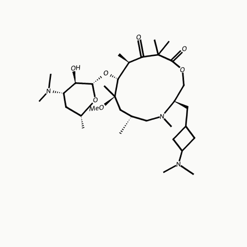 CO[C@]1(C)C[C@@H](C)CN(C)[C@H](CC2CC(N(C)C)C2)COC(=O)C(C)(C)C(=O)[C@H](C)[C@H]1O[C@@H]1O[C@H](C)C[C@H](N(C)C)[C@H]1O